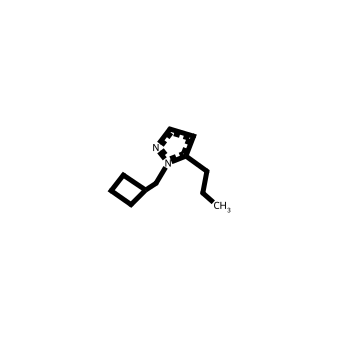 CCCc1ccnn1CC1CCC1